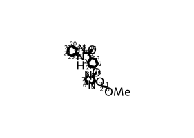 COCCOc1nccnc1Oc1ccc(C(=O)c2nc3ccccc3[nH]2)cc1